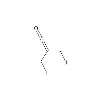 O=C=C(CI)CI